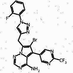 Nc1ncnn2c(Cc3cn(-c4ccccc4F)nn3)c(Br)c(-c3cnc(C(F)(F)F)nc3)c12